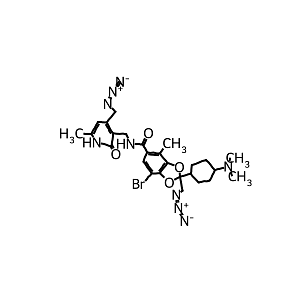 Cc1cc(CN=[N+]=[N-])c(CNC(=O)c2cc(Br)c3c(c2C)OC(CN=[N+]=[N-])(C2CCC(N(C)C)CC2)O3)c(=O)[nH]1